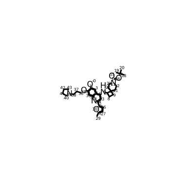 COc1cc2c(NC3CCC34CCN(C(=O)OC(C)(C)C)CC4)cc(-c3ccc(C)o3)nc2cc1OCCCN1CCCC1